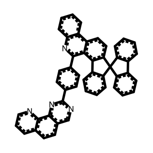 c1ccc2c(c1)-c1ccccc1C21c2ccccc2-c2c1ccc1c2c(-c2ccc(-c3ncc4ccc5cccnc5c4n3)cc2)nc2ccccc21